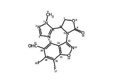 Cn1ncnc1C1COC(=O)N1c1noc2c(F)c(F)c(C=O)cc12